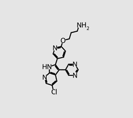 NCCCOc1ccc(-c2[nH]c3ncc(Cl)cc3c2-c2cncnc2)cn1